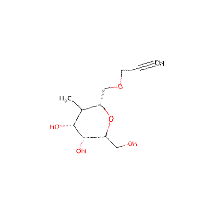 C#CCOC[C@@H]1OC(CO)[C@H](O)[C@H](O)C1C